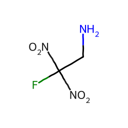 NCC(F)([N+](=O)[O-])[N+](=O)[O-]